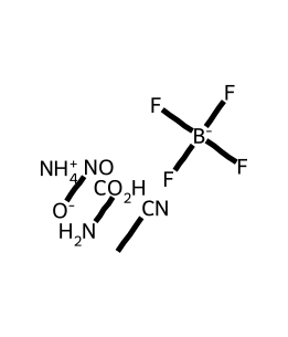 CC#N.F[B-](F)(F)F.NC(=O)O.O=[NH+][O-].[NH4+]